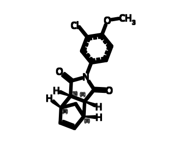 COc1ccc(N2C(=O)[C@@H]3[C@H](C2=O)[C@@H]2C=C[C@H]3C2)cc1Cl